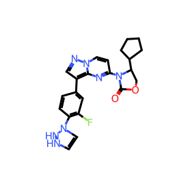 O=C1OCC(C2CCCC2)N1c1ccn2ncc(-c3ccc(N4C=CNN4)c(F)c3)c2n1